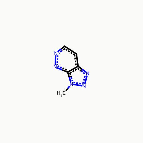 Cn1nnc2ccnnc21